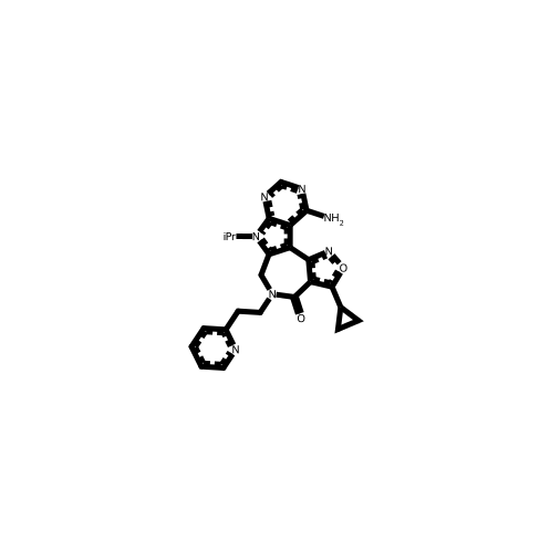 CC(C)n1c2c(c3c(N)ncnc31)-c1noc(C3CC3)c1C(=O)N(CCc1ccccn1)C2